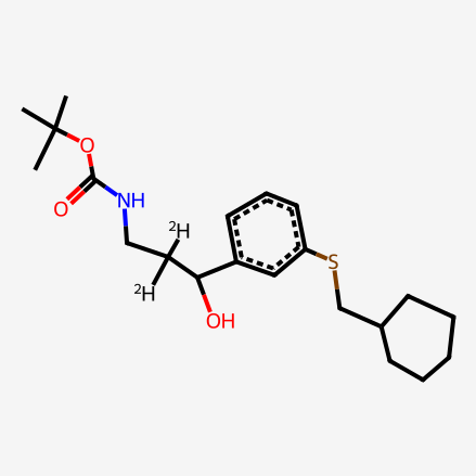 [2H]C([2H])(CNC(=O)OC(C)(C)C)C(O)c1cccc(SCC2CCCCC2)c1